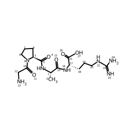 C[C@H](NC(=O)[C@@H]1CCCN1C(=O)CN)C(=O)N[C@@H](CCCNC(=N)N)C(=O)O